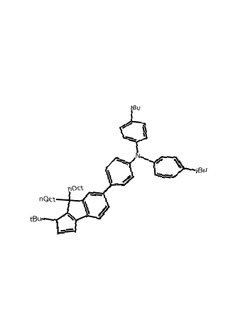 CCCCCCCCC1(CCCCCCCC)C2=C(C=CC2C(C)(C)C)c2ccc(-c3ccc(N(c4ccc(C(C)CC)cc4)c4ccc(C(C)(C)C)cc4)cc3)cc21